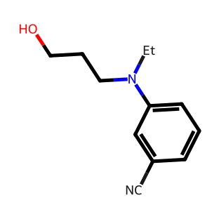 CCN(CCCO)c1cccc(C#N)c1